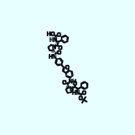 CC(C)(C)OC(=O)N[C@@H](C(=O)N1CCC[C@H]1C(=O)Nc1ccc2oc(-c3ccc(NC(=O)[C@@H]4CCCN4C(=O)[C@H](NC(=O)O)c4ccccc4)cc3)cc2c1)c1ccccc1